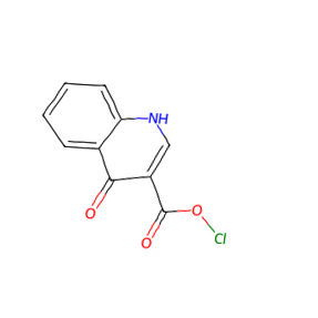 O=C(OCl)c1c[nH]c2ccccc2c1=O